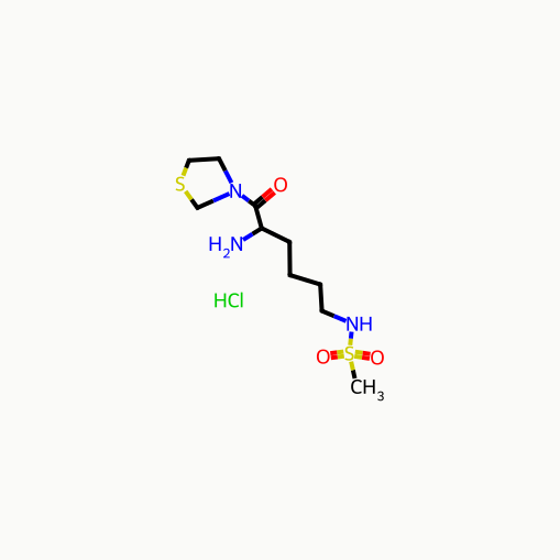 CS(=O)(=O)NCCCCC(N)C(=O)N1CCSC1.Cl